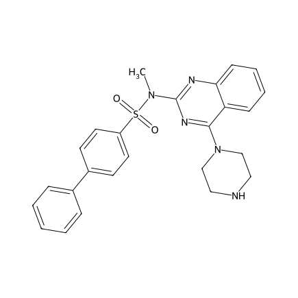 CN(c1nc(N2CCNCC2)c2ccccc2n1)S(=O)(=O)c1ccc(-c2ccccc2)cc1